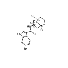 CN1[C@@H]2CCC[C@H]1C[C@@H](NC(=O)c1n[nH]c3cc(Br)ccc13)C2